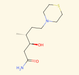 C[C@H](CCN1CCSCC1)[C@@H](O)CC(N)=O